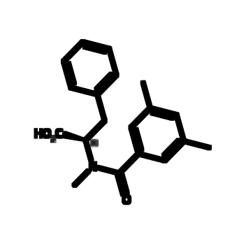 Cc1cc(C)cc(C(=O)N(C)[C@H](Cc2ccccc2)C(=O)O)c1